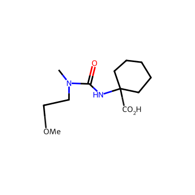 COCCN(C)C(=O)NC1(C(=O)O)CCCCC1